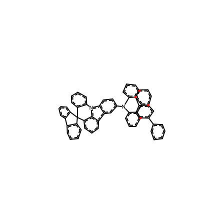 c1ccc(-c2ccc(-c3ccccc3N(c3ccc4c(c3)c3cccc5c3n4-c3ccccc3C53c4ccccc4-c4ccccc43)c3ccccc3-c3ccccc3)cc2)cc1